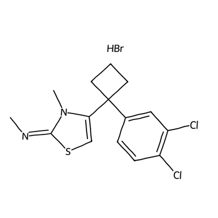 Br.C/N=c1/scc(C2(c3ccc(Cl)c(Cl)c3)CCC2)n1C